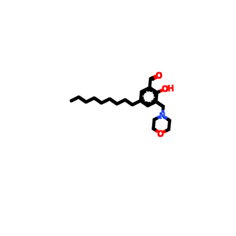 CCCCCCCCCc1cc(C=O)c(O)c(CN2CCOCC2)c1